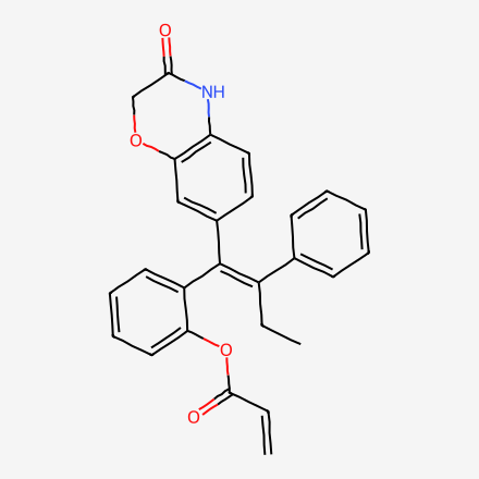 C=CC(=O)Oc1ccccc1/C(=C(\CC)c1ccccc1)c1ccc2c(c1)OCC(=O)N2